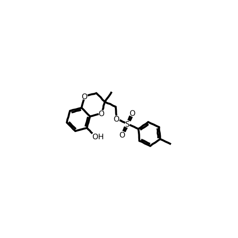 Cc1ccc(S(=O)(=O)OCC2(C)COc3cccc(O)c3O2)cc1